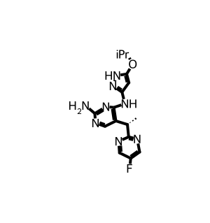 CC(C)Oc1cc(Nc2nc(N)ncc2[C@H](C)c2ncc(F)cn2)n[nH]1